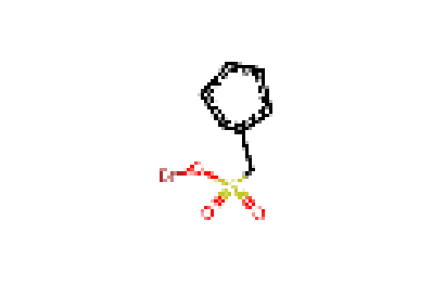 O=S(=O)(Cc1ccccc1)OBr